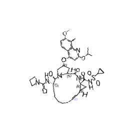 COc1ccc2c(O[C@@H]3C[C@H]4C(=O)N[C@]5(C(=O)NS(=O)(=O)C6CC6)C[C@H]5/C=C\CCCCC[C@H](NC(=O)N5CCC5)C(=O)N4C3)cc(OC(C)C)nc2c1C